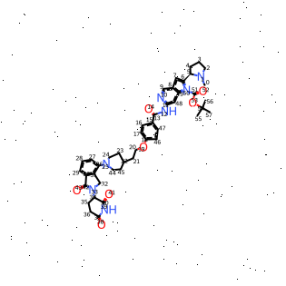 CN1CCC[C@@H]1c1cc2cnc(NC(=O)c3ccc(OCCC4CCN(c5cccc6c5CN(C5CCC(=O)NC5=O)C6=O)CC4)cc3)cc2n1C(=O)OC(C)(C)C